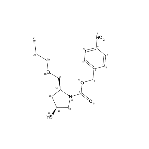 O=C(OCc1ccc([N+](=O)[O-])cc1)N1C[C@@H](S)C[C@H]1COCCF